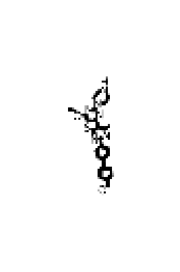 CCOc1nc(N2CCNCC2)nc2c1sc1nc(-c3ccc(-c4ccc(C=O)cc4)cc3)nc(C)c12